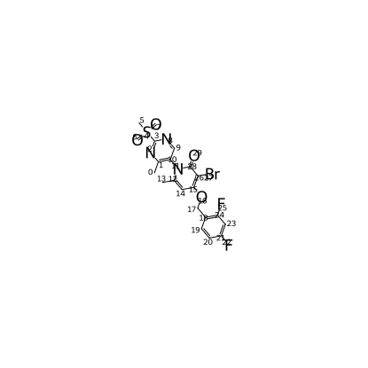 Cc1nc(S(C)(=O)=O)ncc1-n1c(C)cc(OCc2ccc(F)cc2F)c(Br)c1=O